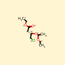 CCOC(=O)C[C@@H](CCl)OC(C)OCC